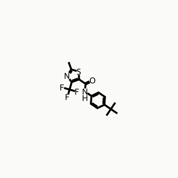 Cc1nc(C(F)(F)F)c(C(=O)Nc2ccc(C(C)(C)C)cc2)s1